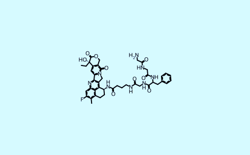 CC[C@@]1(O)C(=O)OCc2c1cc1n(c2=O)Cc2c-1nc1cc(F)c(C)c3c1c2[C@@H](NC(=O)CCCNC(=O)CNC(=O)C(Cc1ccccc1)NC(=O)CNC(=O)CN)CC3